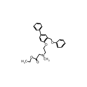 CCOC(=O)CN(C)CCOc1ccc(-c2ccccc2)cc1COc1ccccc1